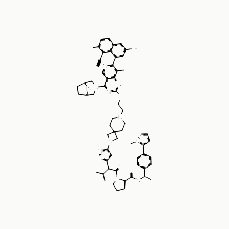 C#Cc1c(F)ccc2cc(O)cc(-c3ncc4c(N5CC6CCC(C5)N6)nc(OCCN5CCC6(CC5)CN(c5cc(C(C(=O)N7CCCC7C(=O)NC(C)c7ccc(-c8ccnn8C)cc7)C(C)C)on5)C6)nc4c3F)c12